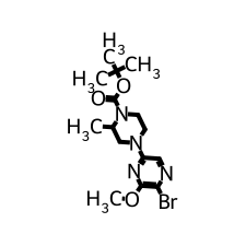 COc1nc(N2CCN(C(=O)OC(C)(C)C)C(C)C2)cnc1Br